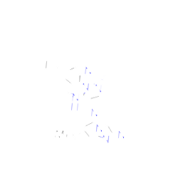 COc1cc(N2CCc3nc(C)nc(N[C@H](C)c4cc(N)cc(C(F)(F)F)c4)c3C2)n2cc(N(C)C)nc2c1